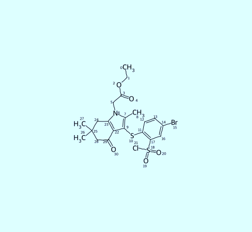 CCOC(=O)Cn1c(C)c(Sc2ccc(Br)cc2S(=O)(=O)Cl)c2c1CC(C)(C)CC2=O